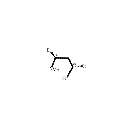 CC[C@@H](C[C@H](CC)C(C)C)NC